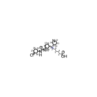 O=C(O)CCCC/C=C(\c1cccnc1)c1cccc(NC(=O)Nc2cccc(Cl)c2)c1